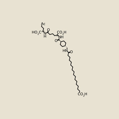 CC(=O)CC[C@H](NC(=O)CCC[C@H](NC(=O)[C@H]1CC[C@H](CNC(=O)CCCCCCCCCCCCCCCCC(=O)O)CC1)C(=O)O)C(=O)O